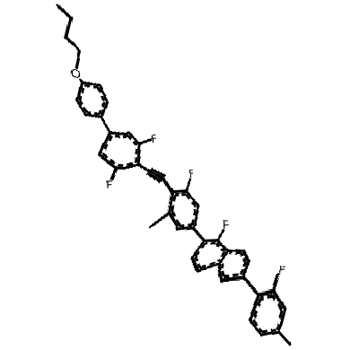 CCCCOc1ccc(-c2cc(F)c(C#Cc3c(C)cc(-c4ccc5cc(-c6ccc(C)cc6F)ccc5c4F)cc3F)c(F)c2)cc1